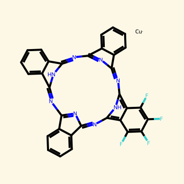 Fc1c(F)c(F)c2c3nc4nc(nc5[nH]c(nc6nc(nc([nH]3)c2c1F)-c1ccccc1-6)c1ccccc51)-c1ccccc1-4.[Cu]